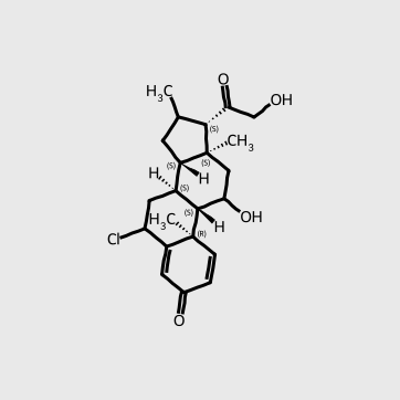 CC1C[C@H]2[C@@H]3CC(Cl)C4=CC(=O)C=C[C@]4(C)[C@H]3C(O)C[C@]2(C)[C@H]1C(=O)CO